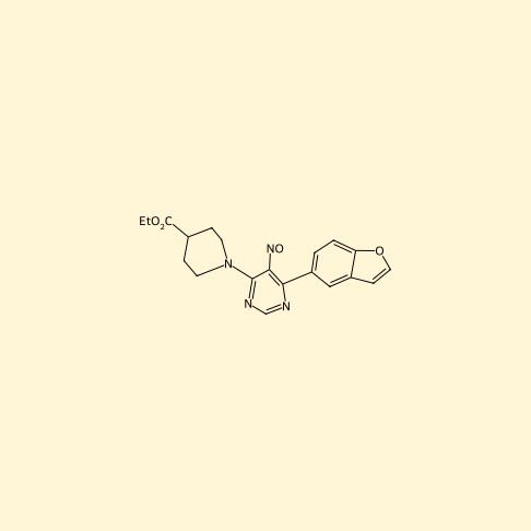 CCOC(=O)C1CCN(c2ncnc(-c3ccc4occc4c3)c2N=O)CC1